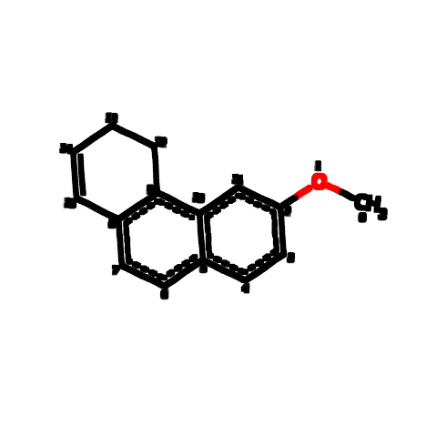 COc1ccc2ccc3c(c2c1)CCC=C3